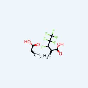 C=C(C(=O)O)C(F)C(F)(F)C(F)(F)F.C=CC(=O)O